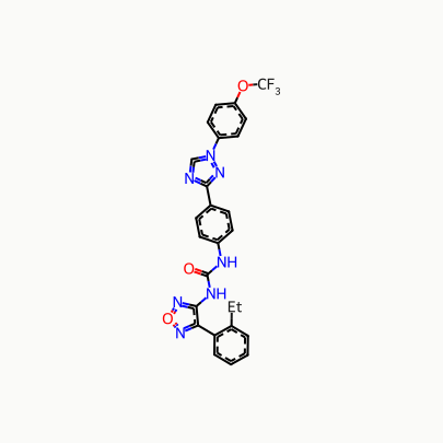 CCc1ccccc1-c1nonc1NC(=O)Nc1ccc(-c2ncn(-c3ccc(OC(F)(F)F)cc3)n2)cc1